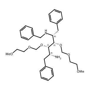 COCCOCO[C@H]([C@@H](OCOCCOC)[C@@H](Cc1ccccc1)NCc1ccccc1)[C@H](N)Cc1ccccc1